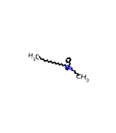 CCCCCCCCCCCCCCCCN1C=CN(CCCCCC)C1Cc1ccccc1